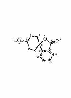 O=C1O[C@]2(CC[C@H](C(=O)O)CC2)c2cccnc21